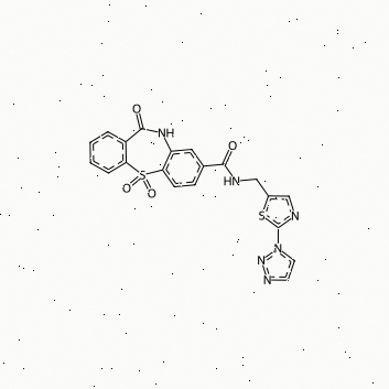 O=C(NCc1cnc(-n2ccnn2)s1)c1ccc2c(c1)NC(=O)c1ccccc1S2(=O)=O